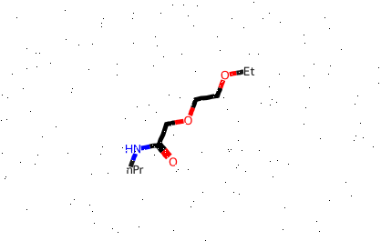 CCCNC(=O)COCCOCC